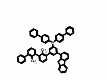 Cc1c(-c2ccccc2)cccc1-c1cccc(-c2cc(-c3cccc4c3Cc3ccccc3-4)cc(N(c3ccc(C4=CC=C=C=C4)cc3)c3ccc(-c4ccccc4)cc3)c2)c1C